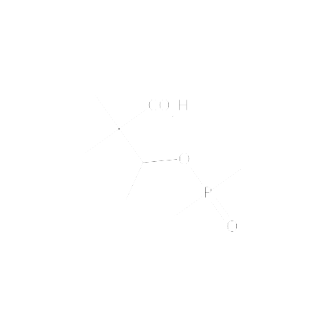 CC(OP(C)(C)=O)C(C)(C)C(=O)O